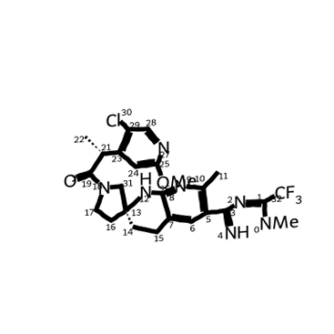 CN/C(=N\C(=N)c1cc2c(nc1C)N[C@@]1(CC2)CCN(C(=O)[C@H](C)c2cc(OC)ncc2Cl)C1)C(F)(F)F